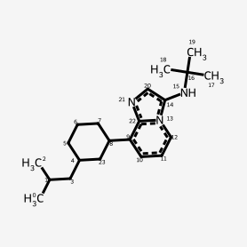 CC(C)CC1CCCC(c2cccn3c(NC(C)(C)C)cnc23)C1